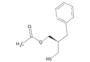 CC(=O)OC[C@H](CO)Cc1ccccc1